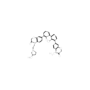 CN1C(=O)COc2cc(-c3cccc(-c4cccc(-c5ccc6c(c5)OCC(=O)N6CCN5CCC(O)C5)c4Cl)c3Cl)ccc21